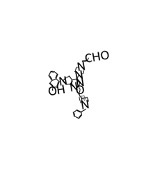 O=CC=CN1CCN(c2nc(OC[C@H]3CCN(Cc4ccccc4)C3)nc3c2CCN(c2cc(O)cc4ccccc24)C3)CC1